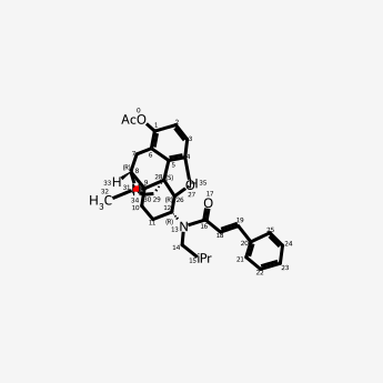 CC(=O)Oc1ccc2c3c1C[C@@H]1[C@@H]4CC[C@@H](N(CC(C)C)C(=O)C=Cc5ccccc5)[C@H](O2)[C@]34CCN1C